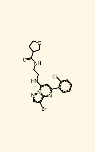 O=C(NCCNc1cc(-c2ccccc2Cl)nc2c(Br)cnn12)C1CCOC1